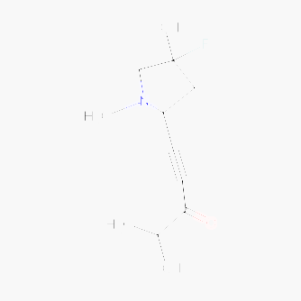 CC(C)C(=O)C#CC1CC(C)(F)CN1C